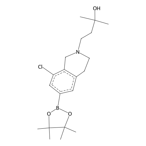 CC(C)(O)CCN1CCc2cc(B3OC(C)(C)C(C)(C)O3)cc(Cl)c2C1